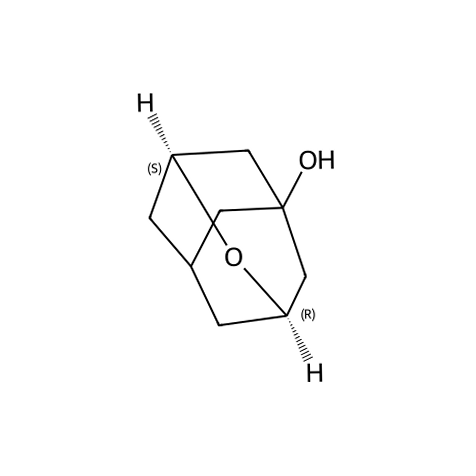 OC12CC3C[C@H](C1)O[C@@H](C3)C2